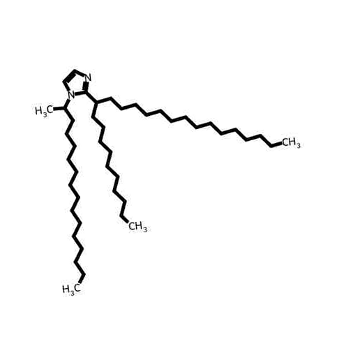 CCCCCCCCCCCCCCCC(CCCCCCCCCC)c1nccn1C(C)CCCCCCCCCCCCCC